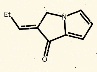 CCC=C1Cn2cccc2C1=O